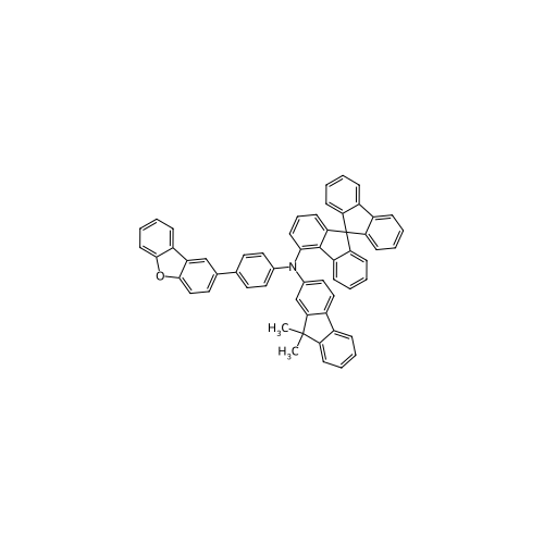 CC1(C)c2ccccc2-c2ccc(N(c3ccc(-c4ccc5oc6ccccc6c5c4)cc3)c3cccc4c3-c3ccccc3C43c4ccccc4-c4ccccc43)cc21